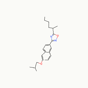 CCCCC(C)c1nc(-c2ccc3cc(OCC(C)C)ccc3c2)no1